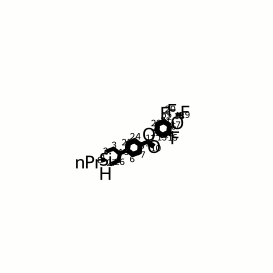 CCC[SiH]1CCC(c2ccc(C(=O)Oc3cc(F)c(OC(F)F)c(F)c3)cc2)CC1